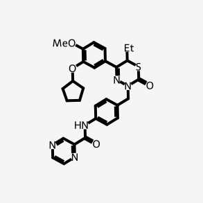 CCC1SC(=O)N(Cc2ccc(NC(=O)c3cnccn3)cc2)N=C1c1ccc(OC)c(OC2CCCC2)c1